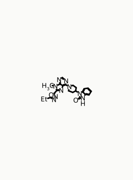 CCc1nnc(-c2nc3c(N4CCC(n5c(=O)[nH]c6ccccc65)CC4)ncnc3n2C)o1